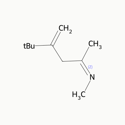 C=C(C/C(C)=N\C)C(C)(C)C